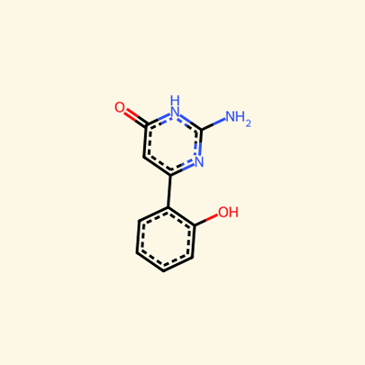 Nc1nc(-c2ccccc2O)cc(=O)[nH]1